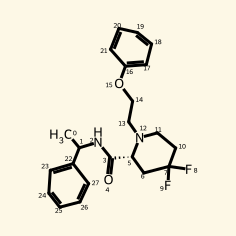 CC(NC(=O)[C@H]1CC(F)(F)CCN1CCOc1ccccc1)c1ccccc1